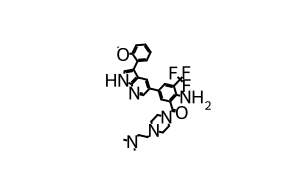 COc1ccccc1-c1c[nH]c2ncc(-c3cc(C(=O)N4CCN(CCN(C)C)CC4)c(N)c(C(F)(F)F)c3)cc12